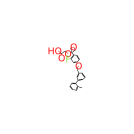 Cc1ccccc1-c1cccc(COc2ccc(C3(OCC(=O)O)COC3)c(F)c2)c1